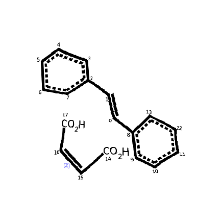 C(=Cc1ccccc1)c1ccccc1.O=C(O)/C=C\C(=O)O